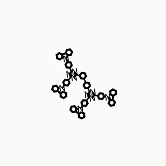 c1cc(-c2ccc(-c3nc(-c4ccc(-n5c6ccccc6c6ccccc65)cc4)nc(-c4ccc(-n5c6ccccc6c6ccccc65)cc4)n3)cc2)cc(-c2nc(-c3ccc(-n4c5ccccc5c5ccccc54)cc3)nc(-c3ccc(-n4c5ccccc5c5ccccc54)cc3)n2)c1